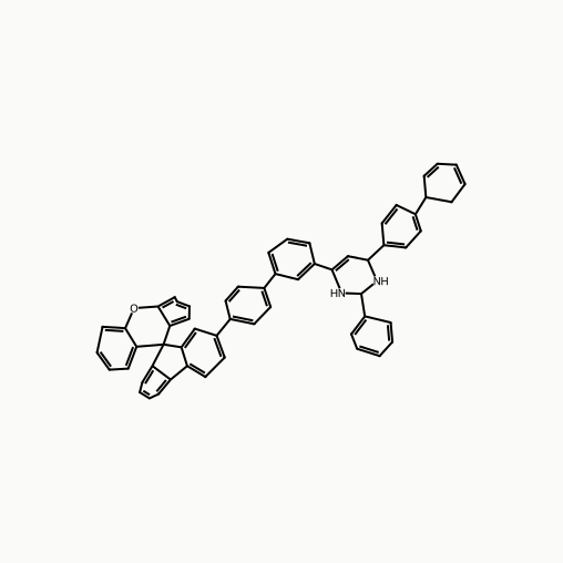 C1=CCC(c2ccc(C3C=C(c4cccc(-c5ccc(-c6ccc7c(c6)C6(c8ccccc8Oc8ccccc86)c6ccccc6-7)cc5)c4)NC(c4ccccc4)N3)cc2)C=C1